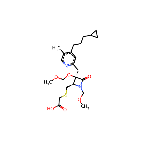 COCO[C@@]1(Cc2cc(CCCC3CC3)c(C)cn2)C(=O)N(COC)[C@H]1CSCC(=O)O